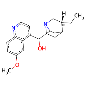 CC[C@H]1CN2CCC1CC2C(O)c1ccnc2ccc(OC)cc12